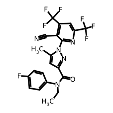 CCN(C(=O)c1cc(C)n(-c2nc(C(F)(F)F)cc(C(F)(F)F)c2C#N)n1)c1ccc(F)cc1